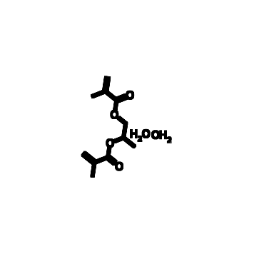 C=C(C)C(=O)OCC(C)OC(=O)C(=C)C.O.O